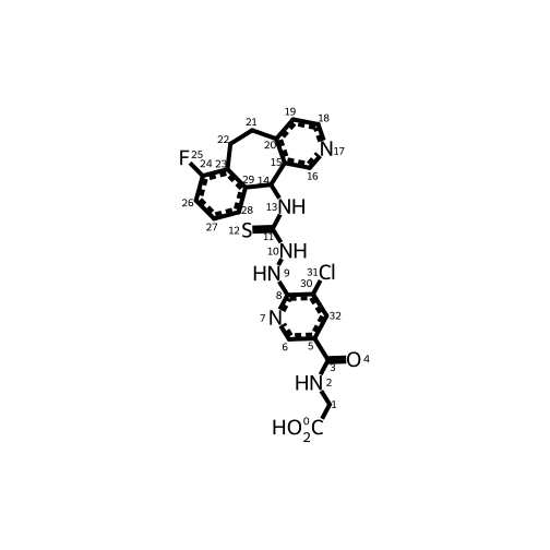 O=C(O)CNC(=O)c1cnc(NNC(=S)NC2c3cnccc3CCc3c(F)cccc32)c(Cl)c1